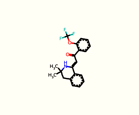 CC1(C)Cc2ccccc2C(=CC(=O)c2ccccc2OC(F)(F)F)N1